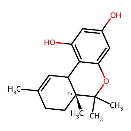 CC1=CC2c3c(O)cc(O)cc3OC(C)(C)[C@]2(C)CC1